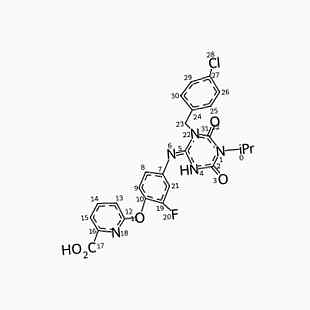 CC(C)n1c(=O)[nH]/c(=N\c2ccc(Oc3cccc(C(=O)O)n3)c(F)c2)n(Cc2ccc(Cl)cc2)c1=O